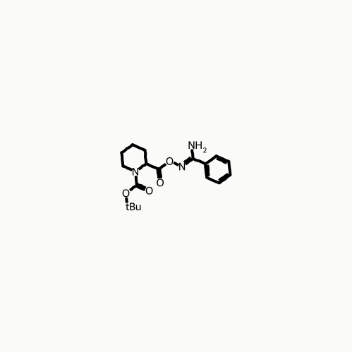 CC(C)(C)OC(=O)N1CCCCC1C(=O)O/N=C(\N)c1ccccc1